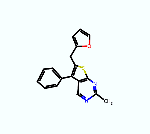 Cc1n[c]c2c(-c3ccccc3)c(Cc3ccco3)sc2n1